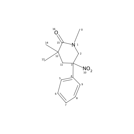 CN1CC(c2ccccc2)([N+](=O)[O-])CC(C)(C)C1=O